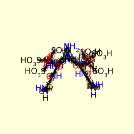 NC1CCN(c2nc(N3CCC(NC(=O)C(CCCCNC(=O)CCCCC4SCC5NC(=O)NC54)NC(=O)c4cc(OCCCS(=O)(=O)O)c(OCCCS(=O)(=O)O)c(OCCCS(=O)(=O)O)c4)CC3)nc(N3CCC(NC(=O)C(CCCCNC(=O)CCCCC4SCC5NC(=O)NC54)NC(=O)c4cc(OCCCS(=O)(=O)O)c(OCCCS(=O)(=O)O)c(OCCCS(=O)(=O)O)c4)CC3)n2)CC1